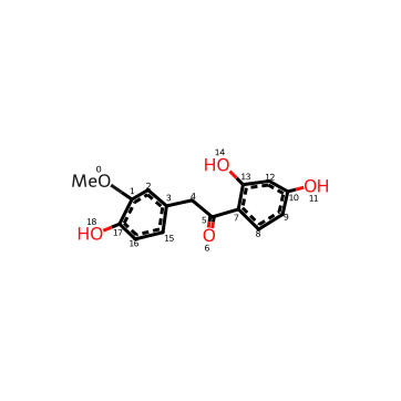 COc1cc(CC(=O)c2ccc(O)cc2O)ccc1O